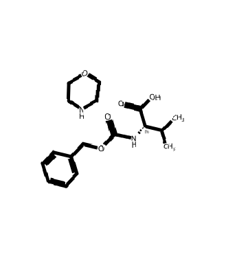 C1COCCN1.CC(C)[C@H](NC(=O)OCc1ccccc1)C(=O)O